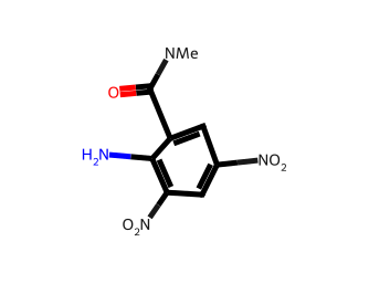 CNC(=O)c1cc([N+](=O)[O-])cc([N+](=O)[O-])c1N